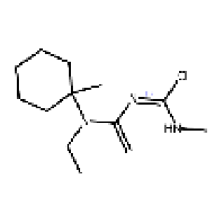 C=C(/N=C(/Cl)NC)N(CC)C1(C)CCCCC1